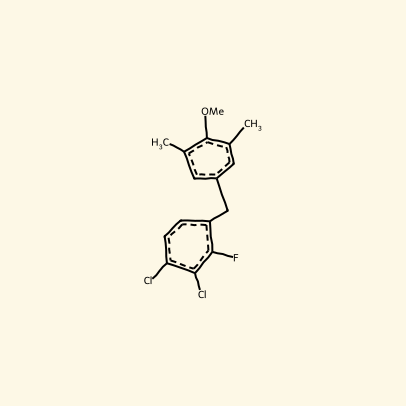 COc1c(C)cc(Cc2ccc(Cl)c(Cl)c2F)cc1C